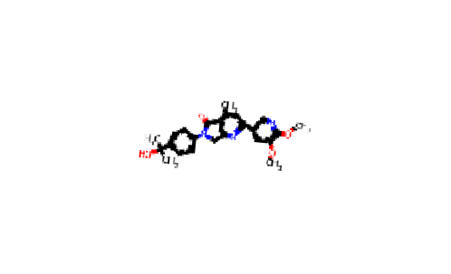 COc1cc(-c2cc(C)c3c(n2)CN(c2ccc(C(C)(C)O)cc2)C3=O)cnc1OC